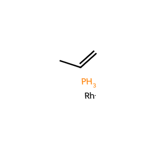 C=CC.P.[Rh]